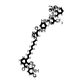 CN(c1ncccc1CNc1nc(Nc2ccc(NC(=O)c3cn(CCCCCCCCCc4cccc5c4C(=O)N(C4CCC(=O)NC4=O)C5=O)nn3)cc2)ncc1C(F)(F)F)S(C)(=O)=O